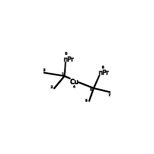 CCC[C](C)(C)[Cu][C](C)(C)CCC